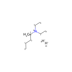 CC[CH2][GeH2][N](CC)CC.[H-].[H-]